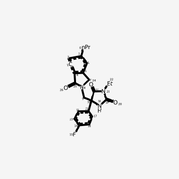 CCCc1ccc2c(c1)CN(CC1(c3ccc(F)cc3)NC(=O)N(CC)C1=O)C2=O